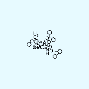 Cc1cn([C@@H]2C[C@H](C(=O)OC(c3ccccc3)c3ccccc3)N(C(=O)[C@H](COC(C)(C)C)NC(=O)OCC3c4ccccc4-c4ccccc43)C2)c(=O)n(C(=O)c2ccccc2)c1=O